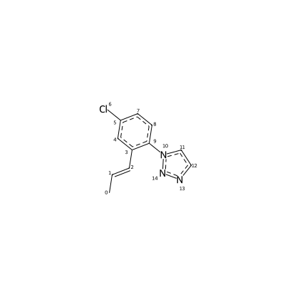 C/C=C/c1cc(Cl)ccc1-n1ccnn1